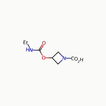 CCNC(=O)OC1CN(C(=O)O)C1